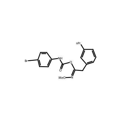 CCCc1cccc([CH]C(=NOC)OC(=O)Nc2ccc(Br)cc2)c1